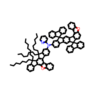 CCCCCCCC1(CCCCCCC)c2ccccc2-c2c1c1c(c3c2oc2ccccc23)-c2ccc(N(c3ccc4c(c3)C3(c5ccccc5-c5ccccc53)c3cc5c(cc3-4)C3(c4ccccc4-c4ccccc43)c3ccc4oc6ccccc6c4c3-5)c3ccccn3)cc2C1(CCCCCCC)CCCCCCC